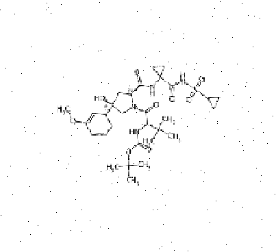 COC1=CC([C@]2(O)C[C@@H](C(=O)NC3(C(=O)NS(=O)(=O)C4CC4)CC3)N(C(=O)C(NC(=O)OC(C)(C)C)C(C)(C)C)C2)CC=C1